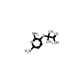 CC(C)(Sc1ccc(N)nc1N)C(=O)O